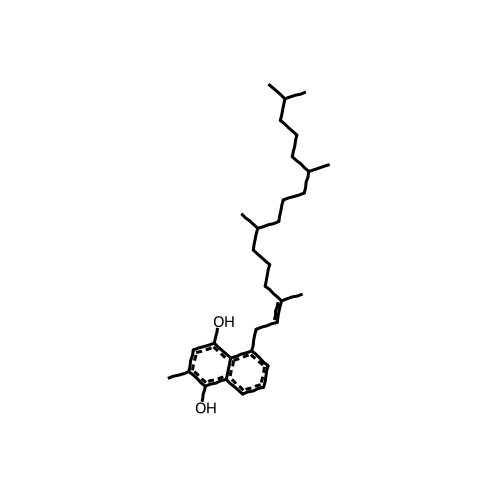 CC(=CCc1cccc2c(O)c(C)cc(O)c12)CCCC(C)CCCC(C)CCCC(C)C